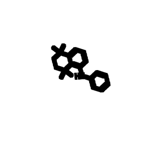 CC1(C)CCC(C)(C)c2c(Nc3ccccc3)cccc21